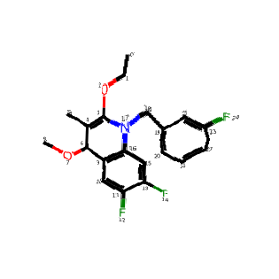 CCOC1=C(C)C(OC)c2cc(F)c(F)cc2N1Cc1cccc(F)c1